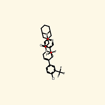 O=C(CN1CC2CCCC(C1)N2c1ccc(C(F)(F)F)cn1)N1CC=C(c2ccc(Cl)c(C(F)(F)F)c2)CC1